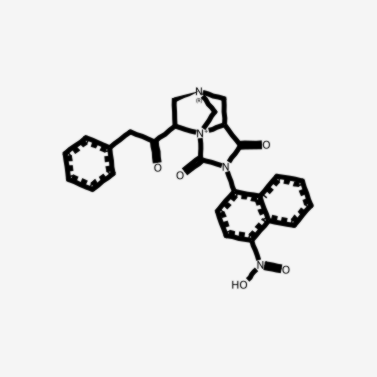 O=C(Cc1ccccc1)C1C[N@@]2CC3C(=O)N(c4ccc([N+](=O)O)c5ccccc45)C(=O)[N+]13C2